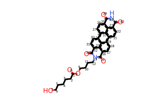 O=C(CCCCCO)OCCCCN1C(=O)c2ccc3c4ccc5c6c(ccc(c7ccc(c2c37)C1=O)c64)C(=O)NC5=O